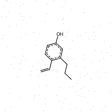 C=Cc1ccc(O)cc1CCC